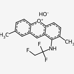 Cc1ccc2[o+]c3ccc(C)c(NC(F)(F)CF)c3cc2c1.[OH-]